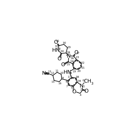 CN1C(=O)COc2cc(C3CCC(C#N)CC3)c(Nc3cccc4c3C(=O)N(C3CCC(=O)NC3=O)C4=O)cc21